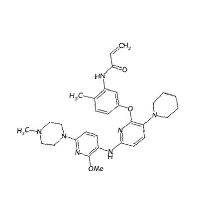 C=CC(=O)Nc1cc(Oc2nc(Nc3ccc(N4CCN(C)CC4)nc3OC)ccc2N2CCCCC2)ccc1C